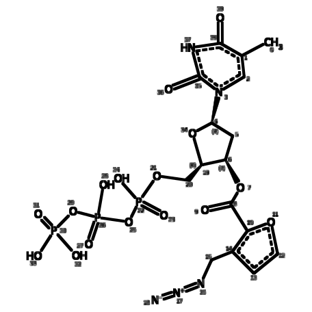 Cc1cn([C@H]2C[C@@H](OC(=O)c3occc3CN=[N+]=[N-])[C@@H](COP(=O)(O)OP(=O)(O)OP(=O)(O)O)O2)c(=O)[nH]c1=O